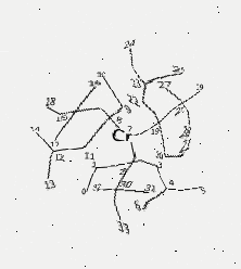 CC[C](CC(C)C)([Cr]([C](CC)(CC(C)C)C(C)(C)C)[C](CC)(CC(C)C)C(C)(C)C)C(C)(C)C